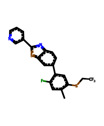 Cc1cc(F)c(-c2ccc3nc(-c4cccnc4)sc3c2)cc1SCC(F)(F)F